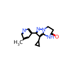 Cc1cncc(-c2nn3c(c2C2CC2)NC(=O)CC3)c1